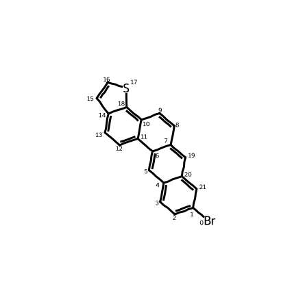 Brc1ccc2cc3c(ccc4c3ccc3ccsc34)cc2c1